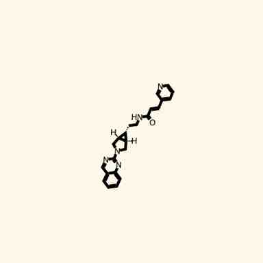 O=C(/C=C/c1cccnc1)NCC[C@@H]1[C@H]2CN(c3ncc4ccccc4n3)C[C@@H]12